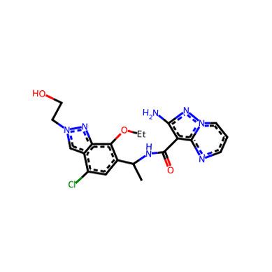 CCOc1c(C(C)NC(=O)c2c(N)nn3cccnc23)cc(Cl)c2cn(CCO)nc12